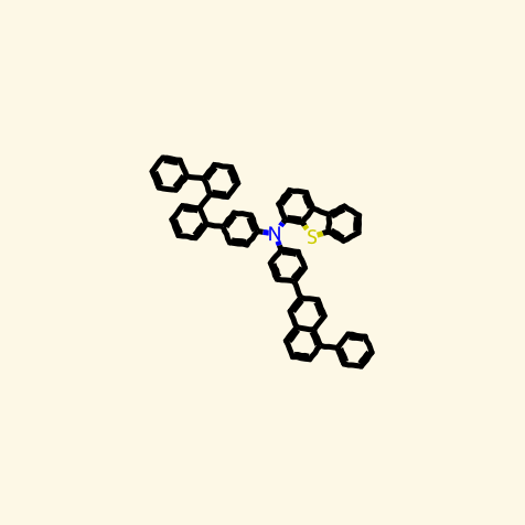 c1ccc(-c2ccccc2-c2ccccc2-c2ccc(N(c3ccc(-c4ccc5c(-c6ccccc6)cccc5c4)cc3)c3cccc4c3sc3ccccc34)cc2)cc1